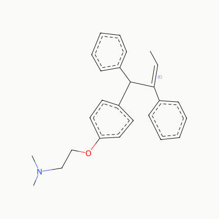 C/C=C(/c1ccccc1)C(c1ccccc1)c1ccc(OCCN(C)C)cc1